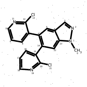 Cn1ncc2cc(-c3cccnc3Cl)c(-c3cccnc3Cl)cc21